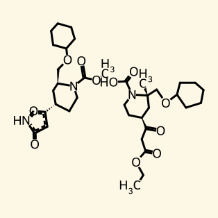 CCOC(=O)CC(=O)[C@H]1CCN(C(=O)O)[C@](C)(COC2CCCCC2)C1.COC(=O)N1CC[C@H](c2cc(=O)[nH]o2)C[C@H]1COC1CCCCC1